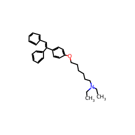 CCN(CC)CCCCCCOc1ccc(/C(=C/c2ccccc2)c2ccccc2)cc1